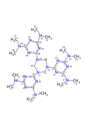 CN(C)c1nc(N(C)C)nc(N2CN(c3nc(N(C)C)nc(N(C)C)n3)CN(c3nc(N(C)C)nc(N(C)C)n3)C2)n1